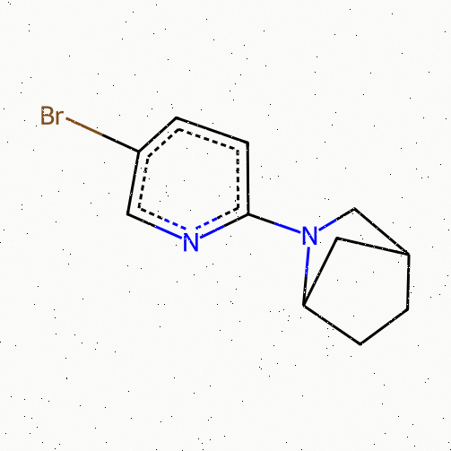 Brc1ccc(N2CC3CCC2C3)nc1